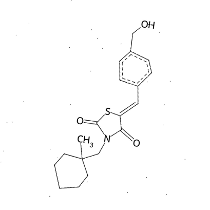 CC1(CN2C(=O)SC(=Cc3ccc(CO)cc3)C2=O)CCCCC1